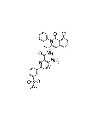 C[C@H](NC(=O)c1nc(-c2cccc(S(=O)(=O)N(C)C)c2)cnc1N)c1cc2cccc(Cl)c2c(=O)n1-c1ccccc1